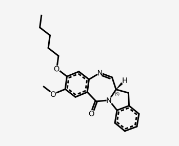 CCCCCOc1cc2c(cc1OC)C(=O)N1c3ccccc3C[C@H]1C=N2